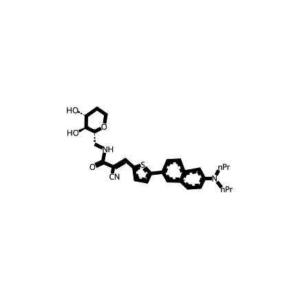 CCCN(CCC)c1ccc2cc(-c3ccc(/C=C(\C#N)C(=O)NC[C@H]4OCC[C@@H](O)[C@@H]4O)s3)ccc2c1